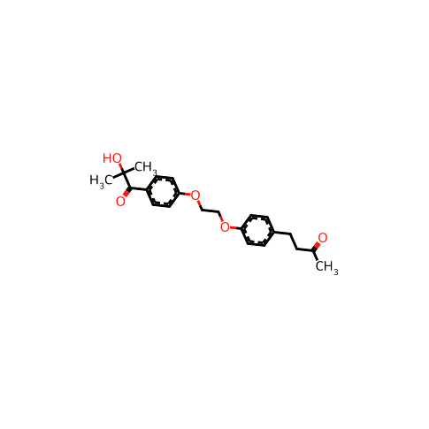 CC(=O)CCc1ccc(OCCOc2ccc(C(=O)C(C)(C)O)cc2)cc1